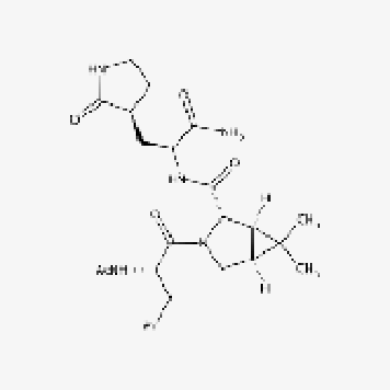 CC(=O)N[C@@H](CC(C)C)C(=O)N1C[C@H]2[C@@H]([C@H]1C(=O)N[C@@H](C[C@@H]1CCNC1=O)C(N)=O)C2(C)C